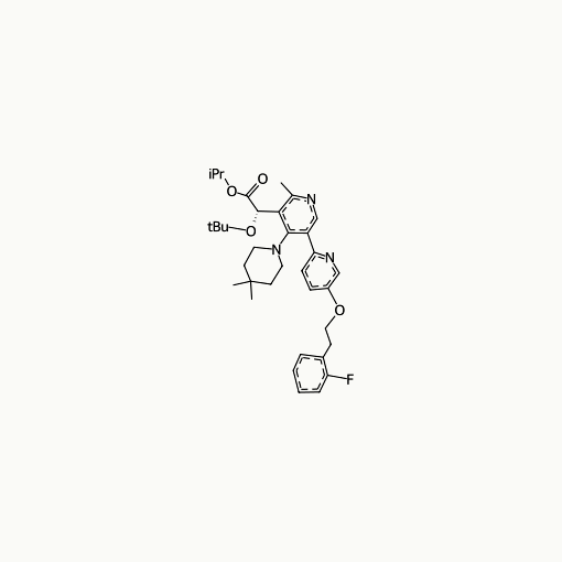 Cc1ncc(-c2ccc(OCCc3ccccc3F)cn2)c(N2CCC(C)(C)CC2)c1[C@H](OC(C)(C)C)C(=O)OC(C)C